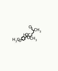 COc1ccc(C(=O)OC(C)(C)CCCC(C)CC=O)cc1